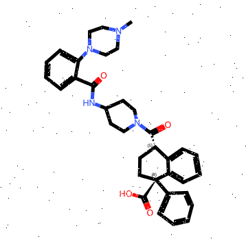 CN1CCN(c2ccccc2C(=O)NC2CCN(C(=O)[C@H]3CC[C@@](C(=O)O)(c4ccccc4)c4ccccc43)CC2)CC1